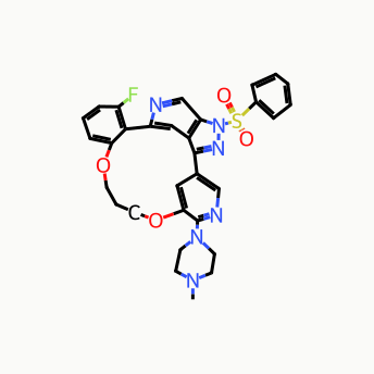 CN1CCN(c2ncc3cc2OCCCOc2cccc(F)c2-c2cc4c-3nn(S(=O)(=O)c3ccccc3)c4cn2)CC1